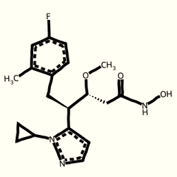 CO[C@H](CC(=O)NO)[C@H](Cc1ccc(F)cc1C)c1ccnn1C1CC1